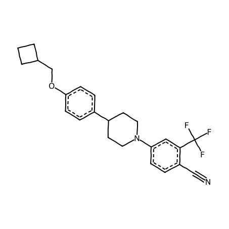 N#Cc1ccc(N2CCC(c3ccc(OCC4CCC4)cc3)CC2)cc1C(F)(F)F